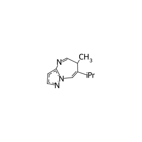 CC(C)C1=Cn2nccc2N=CC1C